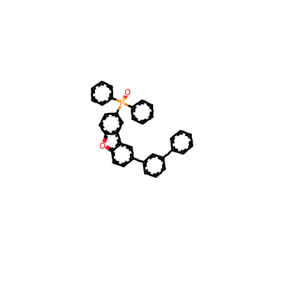 O=P(c1ccccc1)(c1ccccc1)c1ccc2oc3ccc(-c4cccc(-c5ccccc5)c4)cc3c2c1